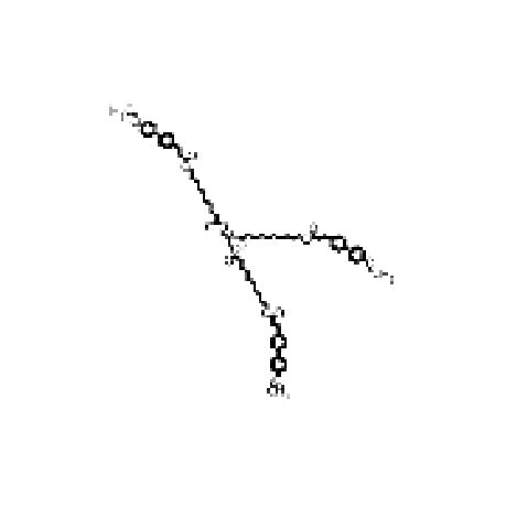 CCOc1ccc(-c2ccc(C=CC(=O)OCCCCCCCCCC(=O)OCC(COC(=O)CCCCCCCCCOC(=O)C=Cc3ccc(-c4ccc(OCC)cc4)cc3)OC(=O)CCCCCCCCCOC(=O)C=Cc3ccc(-c4ccc(OCC)cc4)cc3)cc2)cc1